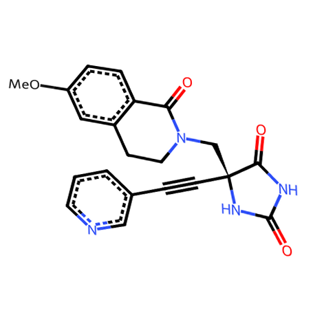 COc1ccc2c(c1)CCN(C[C@]1(C#Cc3cccnc3)NC(=O)NC1=O)C2=O